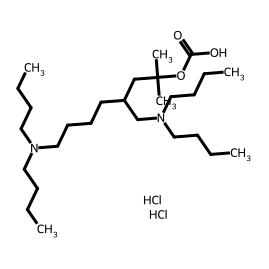 CCCCN(CCCC)CCCCC(CN(CCCC)CCCC)CC(C)(C)OC(=O)O.Cl.Cl